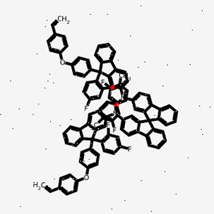 C=Cc1ccc(Oc2ccc(C3(c4ccc(F)cc4F)c4ccccc4-c4ccc(N(c5ccc(C)c(F)c5)c5ccc6c(c5)C5(c7ccccc7-6)c6ccccc6-c6ccc(N(c7ccc(C)c(F)c7)c7ccc8c(c7)C(c7ccc(Oc9ccc(C=C)cc9)cc7)(c7ccc(F)cc7F)c7ccccc7-8)cc65)cc43)cc2)cc1